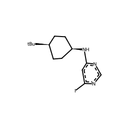 CC(C)(C)[C@H]1CC[C@@H](Nc2cc(I)ncn2)CC1